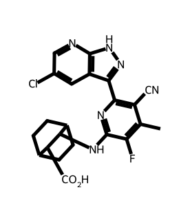 Cc1c(F)c(NC2C3CCC(CC3)C2C(=O)O)nc(-c2n[nH]c3ncc(Cl)cc23)c1C#N